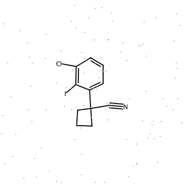 N#CC1(c2cccc(Cl)c2I)CCC1